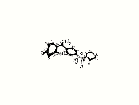 C=C(c1ccc(S(=O)(=O)NC2CCOCC2)cc1)c1ccc(F)cc1NC